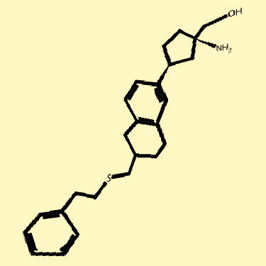 N[C@]1(CO)CC[C@H](c2ccc3c(c2)CCC(CSCCc2ccccc2)C3)C1